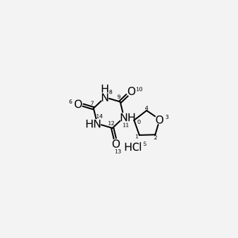 C1CCOC1.Cl.O=c1[nH]c(=O)[nH]c(=O)[nH]1